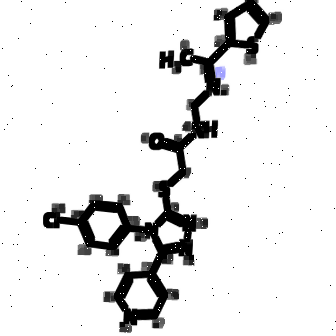 C/C(=N\CNC(=O)CSc1nnc(-c2ccncc2)n1-c1ccc(Cl)cc1)c1cccs1